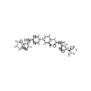 O=C(Cc1ccc(-c2cnc(Nc3cnn4c3OCCC4)nc2)cc1F)Nc1cc(C2(C(F)(F)F)CC2)on1